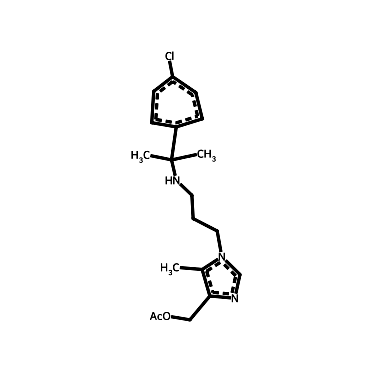 CC(=O)OCc1ncn(CCCNC(C)(C)c2ccc(Cl)cc2)c1C